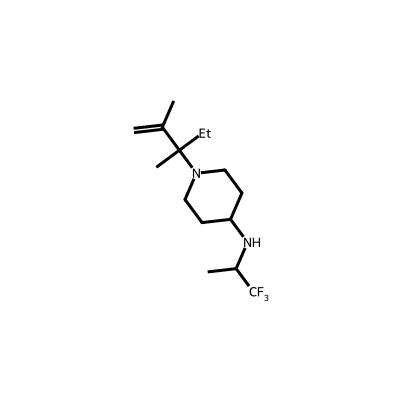 C=C(C)C(C)(CC)N1CCC(NC(C)C(F)(F)F)CC1